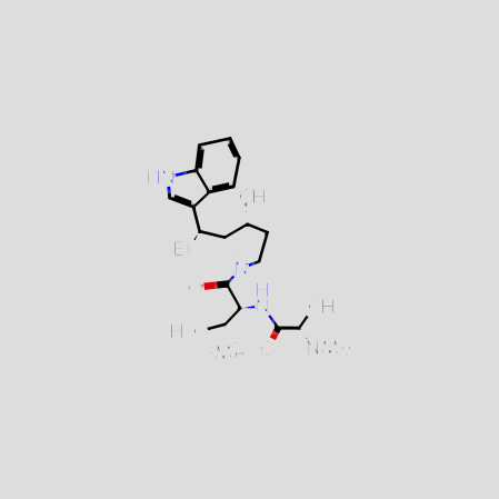 CC[C@@H](c1c[nH]c2ccccc12)[C@@H]1[C@H](C)CCN1C(=O)[C@@H](NC(=O)[C@H](C)NC)[C@@H](C)OC